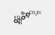 CCOC(=O)c1cnc(-c2ccc(NC(=O)c3c(F)cccc3F)cc2)c(Br)c1